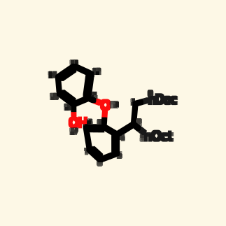 CCCCCCCCCCCC(CCCCCCCC)c1ccccc1Oc1ccccc1O